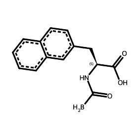 BC(=O)N[C@@H](Cc1ccc2ccccc2c1)C(=O)O